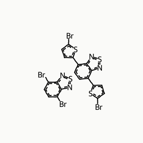 Brc1ccc(-c2ccc(-c3ccc(Br)s3)c3nsnc23)s1.Brc1ccc(Br)c2nsnc12